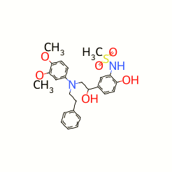 COc1ccc(N(CCc2ccccc2)CC(O)c2ccc(O)c(NS(C)(=O)=O)c2)cc1OC